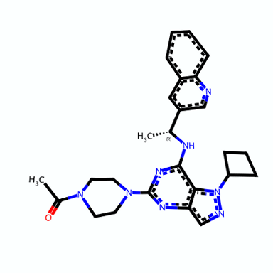 CC(=O)N1CCN(c2nc(N[C@H](C)c3cnc4ccccc4c3)c3c(cnn3C3CCC3)n2)CC1